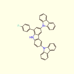 Fc1ccc(-c2cc(-n3c4ccccc4c4ccccc43)cc3c2[nH]c2ccc(-n4c5ccccc5c5ccccc54)cc23)cc1